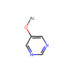 CC(=O)Oc1cn[c]nc1